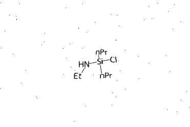 CCC[Si](Cl)(CCC)NCC